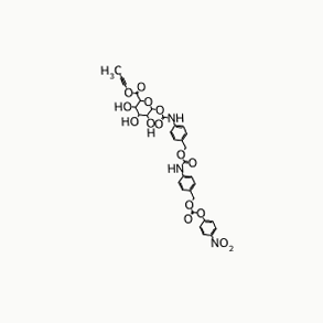 CC#COC(=O)C1OC(OC(=O)Nc2ccc(COC(=O)Nc3ccc(COC(=O)Oc4ccc([N+](=O)[O-])cc4)cc3)cc2)C(O)C(O)C1O